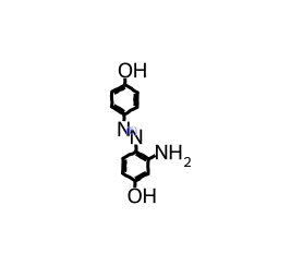 Nc1cc(O)ccc1/N=N/c1ccc(O)cc1